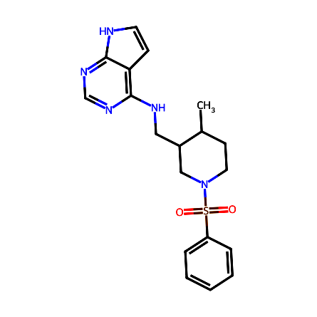 CC1CCN(S(=O)(=O)c2ccccc2)CC1CNc1ncnc2[nH]ccc12